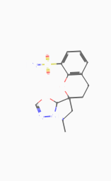 CCCC1(C2NN=CO2)CCc2cccc(S(N)(=O)=O)c2O1